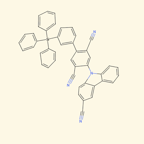 N#Cc1ccc2c(c1)c1ccccc1n2-c1cc(C#N)c(-c2cccc([Si](c3ccccc3)(c3ccccc3)c3ccccc3)c2)cc1C#N